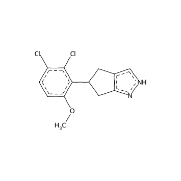 COc1ccc(Cl)c(Cl)c1C1Cc2c[nH]nc2C1